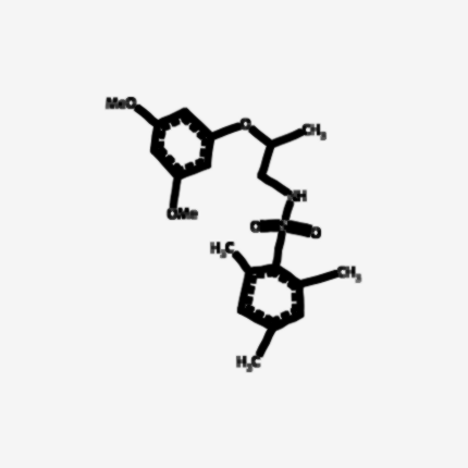 COc1cc(OC)cc(OC(C)CNS(=O)(=O)c2c(C)cc(C)cc2C)c1